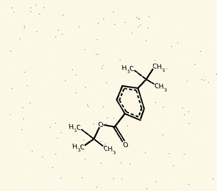 CC(C)(C)OC(=O)c1ccc(C(C)(C)C)cc1